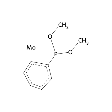 COP(OC)c1ccccc1.[Mo]